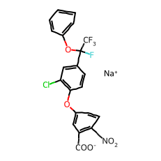 O=C([O-])c1cc(Oc2ccc(C(F)(Oc3ccccc3)C(F)(F)F)cc2Cl)ccc1[N+](=O)[O-].[Na+]